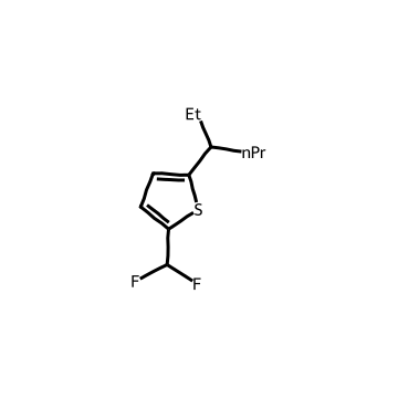 CCCC(CC)c1ccc(C(F)F)s1